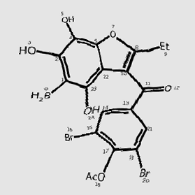 Bc1c(O)c(O)c2oc(CC)c(C(=O)c3cc(Br)c(OC(C)=O)c(Br)c3)c2c1O